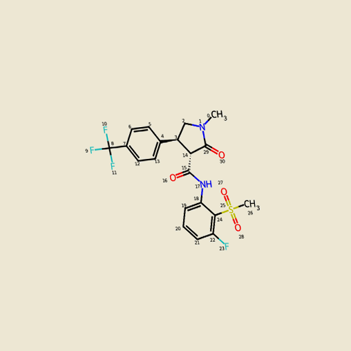 CN1C[C@H](c2ccc(C(F)(F)F)cc2)[C@@H](C(=O)Nc2cccc(F)c2S(C)(=O)=O)C1=O